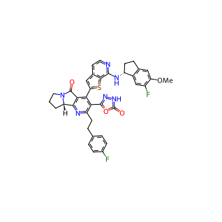 COc1cc2c(cc1F)[C@H](Nc1nccc3cc(-c4c5c(nc(CCc6ccc(F)cc6)c4-c4n[nH]c(=O)o4)[C@@H]4CCCN4C5=O)sc13)CC2